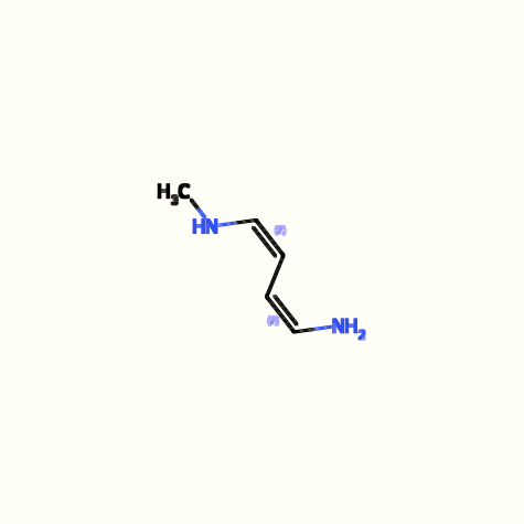 CN/C=C\C=C/N